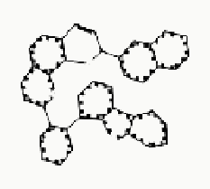 C1=CC(c2ccc3ccccc3c2)Nc2c1ccc1ccc(-c3ccccc3-c3cccc4c3sc3ccccc34)nc21